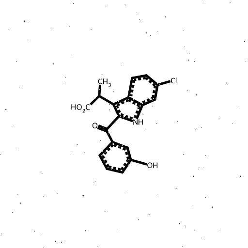 CC(C(=O)O)c1c(C(=O)c2cccc(O)c2)[nH]c2cc(Cl)ccc12